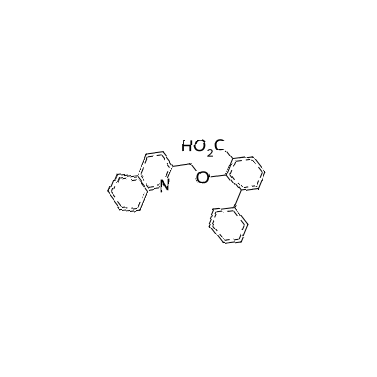 O=C(O)c1cccc(-c2ccccc2)c1OCc1ccc2ccccc2n1